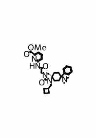 COC(=O)c1cccc(NC(=O)CN2C[C@]3(CC[C@](c4ccccc4)(N(C)C)CC3)N(CC3CCC3)C2=O)n1